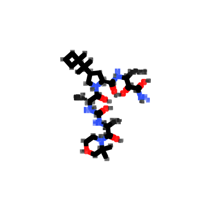 CCCCCC(NC(=O)[C@@H]1CC(C(C)(C)C2(C)CCC2)CN1C(=O)[C@H](NC(=O)NC(C(=O)N1CCOCC1(C)C)C(C)C)C(C)(C)C)C(=O)C(N)=O